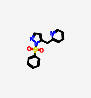 O=S(=O)(c1ccccc1)n1nccc1Cc1ccccn1